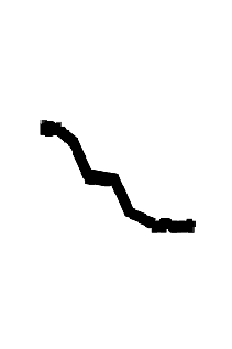 CCCCCCC=CCC(C)CC